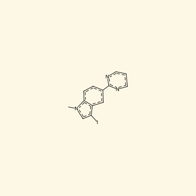 Cn1cc(I)c2cc(-c3ncccn3)ccc21